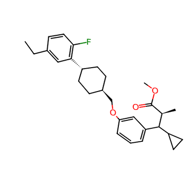 CCc1ccc(F)c([C@H]2CC[C@H](COc3cccc(C(C4CC4)[C@H](C)C(=O)OC)c3)CC2)c1